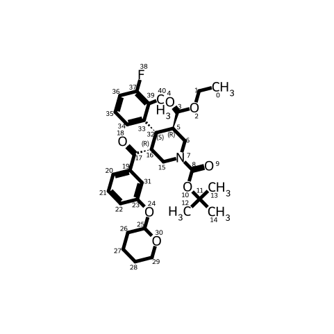 CCOC(=O)[C@H]1CN(C(=O)OC(C)(C)C)C[C@H](C(=O)c2cccc(OC3CCCCO3)c2)[C@@H]1c1cccc(F)c1C